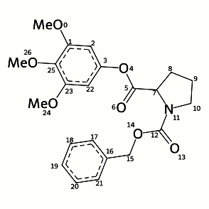 COc1cc(OC(=O)C2CCCN2C(=O)OCc2ccccc2)cc(OC)c1OC